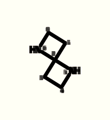 C1CC2(CCN2)N1